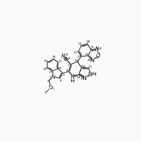 COCn1cc(C2=C(C#N)C(c3cccc4nonc34)c3c[nH]nc3N2)c2ccccc21